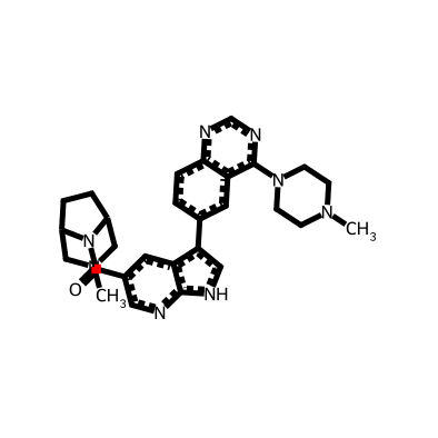 CN1CCN(c2ncnc3ccc(-c4c[nH]c5ncc(C(=O)N6C7CCC6CN(C)C7)cc45)cc23)CC1